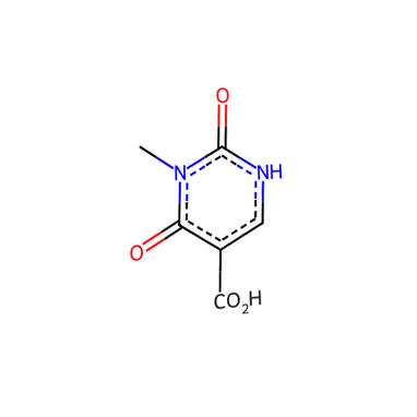 Cn1c(=O)[nH]cc(C(=O)O)c1=O